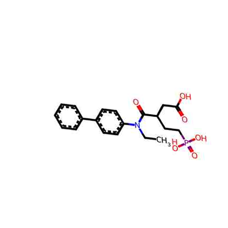 CCN(C(=O)C(CCP(=O)(O)O)CC(=O)O)c1ccc(-c2ccccc2)cc1